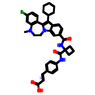 CN1CCn2c(c(C3CCCCC3)c3ccc(C(=O)NC4(C(=O)Nc5ccc(/C=C/C(=O)O)cc5)CCC4)cc32)-c2ccc(F)cc21